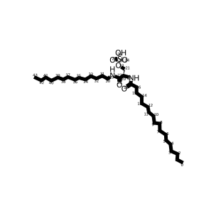 CCCCCCCCCCCCCCCCCC(=O)N[C@@H](COS(=O)(=O)O)C(=O)NCCCCCCCCCCCCCC